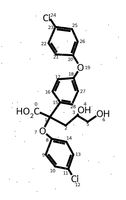 O=C(O)C(CC(O)CO)(Oc1ccc(Cl)cc1)c1ccc(Oc2ccc(Cl)cc2)cc1